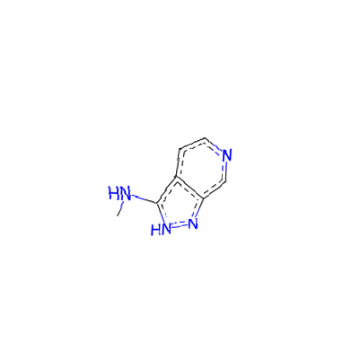 CNc1[nH]nc2cnccc12